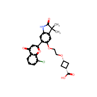 CC1(C)C(=O)Nc2cc(-c3cc(=O)c4cccc(Cl)c4o3)c(OCCO[C@H]3C[C@@H](C(=O)O)C3)cc21